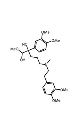 COc1ccc(CCN(C)CCCC(C#N)(c2ccc(OC)c(OC)c2)C(O)OC)cc1OC